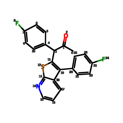 CC(=O)C(c1ccc(F)cc1)c1sc2ncccc2c1-c1ccc(F)cc1